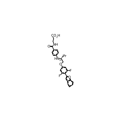 CC(C)[C@@H](COc1cc(F)c(-c2cc3ccccc3o2)c(F)c1)Nc1ccc(C(=O)NCCC(=O)O)cc1